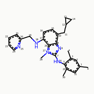 Cc1cc(C)c(Nc2nc3c(CC4CC4)ccc(NCc4ccccn4)c3n2C)c(C)c1